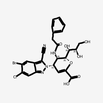 N#Cc1c2cc(Br)c(Cl)cc2nn1[C@H]1C=C(C(=O)O)O[C@@H]([C@H](O)[C@H](O)CO)[C@@H]1NC(=O)Cc1ccccc1